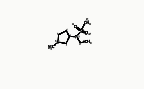 CCN([C@@H]1CCN(C)C1)S(C)(=O)=O